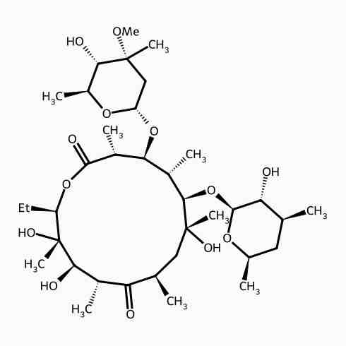 CC[C@H]1OC(=O)[C@H](C)[C@@H](O[C@H]2C[C@@](C)(OC)[C@@H](O)[C@H](C)O2)[C@H](C)[C@@H](O[C@@H]2O[C@H](C)C[C@H](C)[C@H]2O)[C@](C)(O)C[C@@H](C)C(=O)[C@H](C)[C@@H](O)[C@]1(C)O